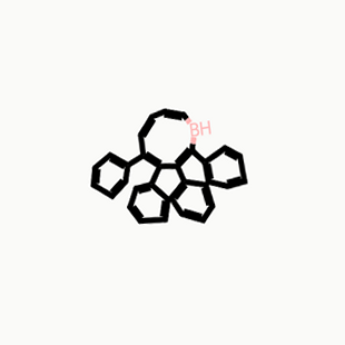 B1C=CC=CC(c2ccccc2)=C(c2ccccc2)C(c2ccccc2)=C1c1ccccc1